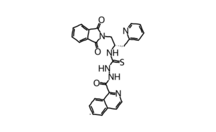 O=C(NNC(=S)N[C@@H](Cc1ccccn1)CN1C(=O)c2ccccc2C1=O)c1nccc2c[c]ccc12